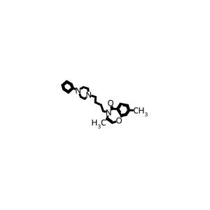 CC1=COc2cc(C)ccc2C(=O)N1CCCCN1CCN(c2ccccc2)CC1